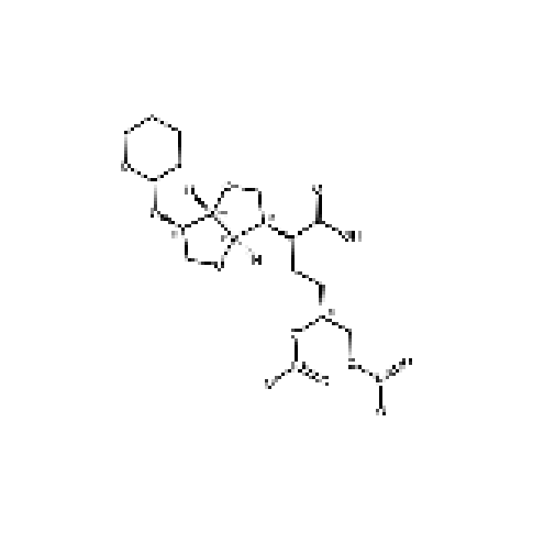 O=C(O)C(CC[C@@H](CO[N+](=O)[O-])O[N+](=O)[O-])[C@@H]1CO[C@@H]2[C@@H]1OC[C@H]2OC1CCCCO1